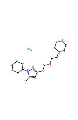 Cc1cc(CCOCCN2CCOCC2)nn1C1CCCCC1.Cl